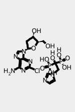 Nc1nc(Cl)nc2c1ncn2[C@H]1C[C@H](O)[C@@H](CO)O1.O=P(O)(O)C(O)(Cn1ccnc1)P(=O)(O)O